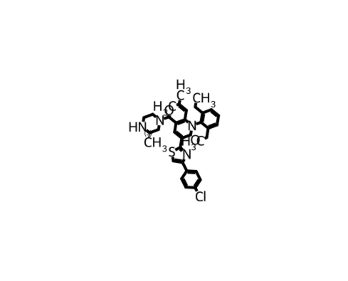 CCc1cccc(CC)c1-n1c(C=C(C)C)c(C(=O)N2CCN[C@@H](C)C2)cc(-c2nc(-c3ccc(Cl)cc3)cs2)c1=O